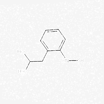 CC(O)Cc1ccccc1NS